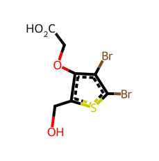 O=C(O)COc1c(CO)sc(Br)c1Br